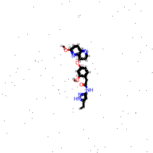 CCc1cc(NC(=O)Cc2ccc(Oc3ccnc4ccc(OC)nc34)cc2OC)n[nH]1